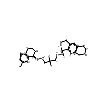 Cc1ccc2c(n1)/C(=N/OCC(C)(C)CO/N=C1\CCCc3cc4c(nc31)CCCC4)CCC2